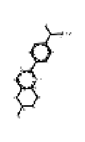 CCCCCCC(C)c1ccc(-c2ncc3c(n2)CCC(C)C3)cc1